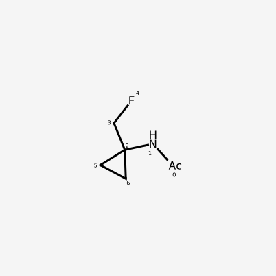 CC(=O)NC1(CF)CC1